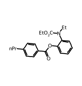 CCCc1ccc(C(=O)Oc2ccccc2N(CC)C(=O)OCC)cc1